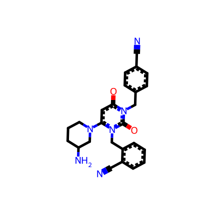 N#Cc1ccc(Cn2c(=O)cc(N3CCCC(N)C3)n(Cc3ccccc3C#N)c2=O)cc1